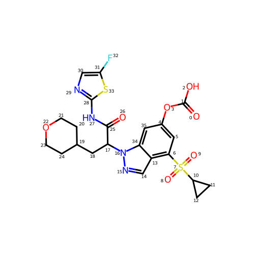 O=C(O)Oc1cc(S(=O)(=O)C2CC2)c2cnn(C(CC3CCOCC3)C(=O)Nc3ncc(F)s3)c2c1